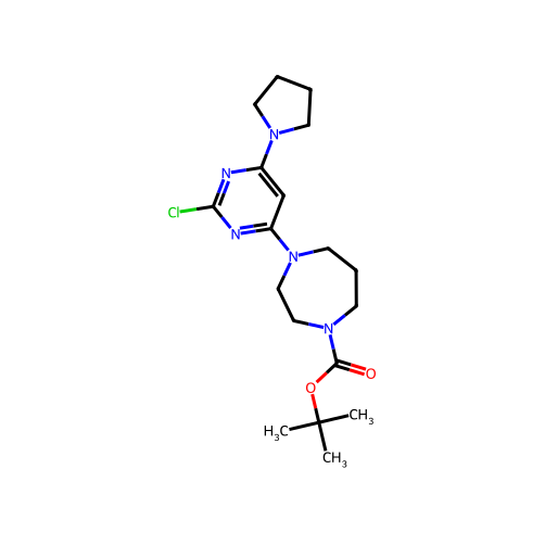 CC(C)(C)OC(=O)N1CCCN(c2cc(N3CCCC3)nc(Cl)n2)CC1